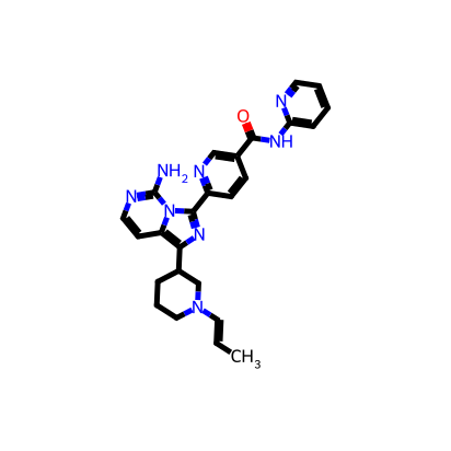 CC=CN1CCCC(c2nc(-c3ccc(C(=O)Nc4ccccn4)cn3)n3c(N)nccc23)C1